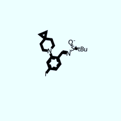 CC(C)(C)[S+]([O-])/N=C/c1ccc(I)cc1N1CCC2(CC1)CC2